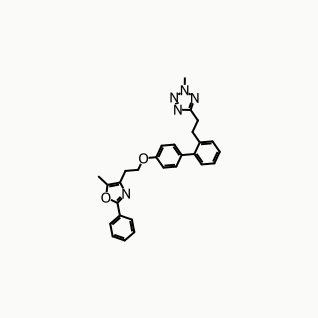 Cc1oc(-c2ccccc2)nc1CCOc1ccc(-c2ccccc2CCc2nnn(C)n2)cc1